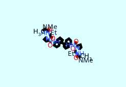 CC[C@H](NC(=O)[C@H](C)NC)C(=O)N1CCC[C@H]1C(=O)N[C@@H]1CCCc2c(-c3cccc4c3CCC[C@H]4NC(=O)[C@@H]3CCCN3C(=O)[C@H](CC)NC(=O)[C@H](C)NC)cccc21